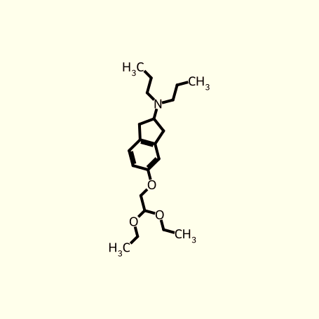 CCCN(CCC)C1Cc2ccc(OCC(OCC)OCC)cc2C1